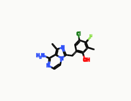 Cc1c(O)c(Cc2nc(C)c3c(N)nccn23)cc(Cl)c1F